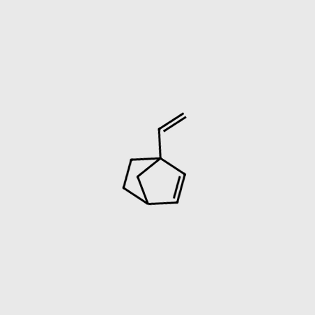 C=CC12C=CC(CC1)C2